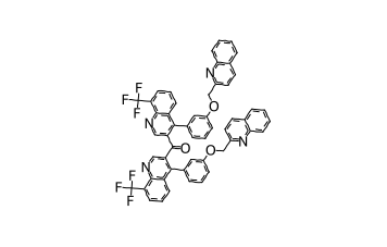 O=C(c1cnc2c(C(F)(F)F)cccc2c1-c1cccc(OCc2ccc3ccccc3n2)c1)c1cnc2c(C(F)(F)F)cccc2c1-c1cccc(OCc2ccc3ccccc3n2)c1